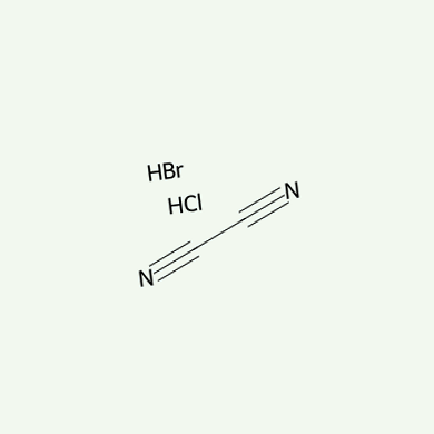 Br.Cl.N#CC#N